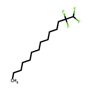 CCCCCCCCCCCCC(F)(F)C(F)F